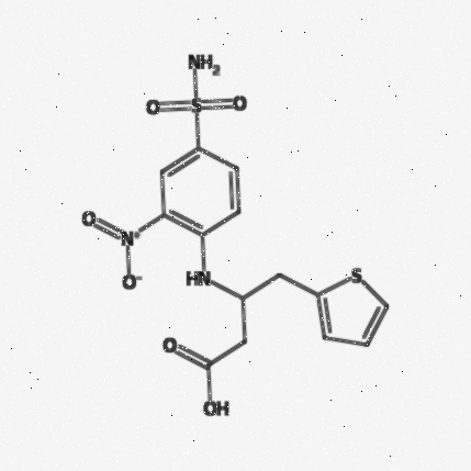 NS(=O)(=O)c1ccc(NC(CC(=O)O)Cc2cccs2)c([N+](=O)[O-])c1